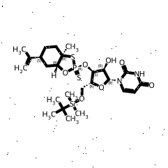 C=C(C)[C@H]1CC[C@@]2(C)S[P@](=S)(O[C@H]3[C@@H](O)[C@H](n4ccc(=O)[nH]c4=O)O[C@@H]3CO[Si](C)(C)C(C)(C)C)O[C@@H]2C1